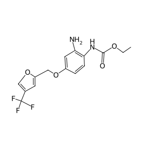 CCOC(=O)Nc1ccc(OCc2cc(C(F)(F)F)co2)cc1N